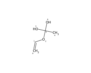 C=COC(C)(O)O